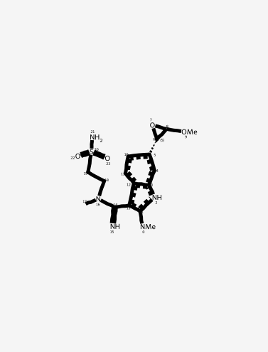 CNc1[nH]c2cc([C@@H]3OC3OC)ccc2c1C(=N)N(C)CCS(N)(=O)=O